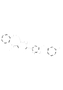 CN1C(=O)C(NC(=O)c2cc(Cc3cccc(F)c3)[nH]n2)COc2ccccc21